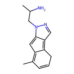 CC1=C2C=c3c(cnn3CC(C)N)=C2CC=C1